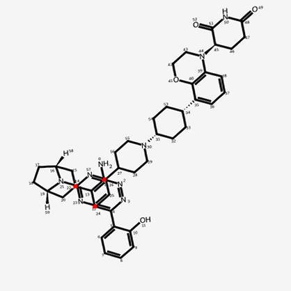 Nc1nnc(-c2ccccc2O)cc1N1C[C@H]2CC[C@@H](C1)N2c1nccc(C2CCN([C@H]3CC[C@@H](c4cccc5c4OCCN5[C@@H]4CCC(=O)NC4=O)CC3)CC2)n1